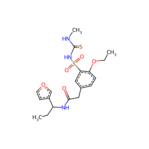 CCOc1ccc(CC(=O)NC(CC)c2ccoc2)cc1S(=O)(=O)NC(=S)NC